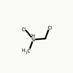 C[SiH](Cl)CCl